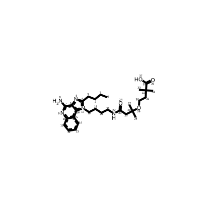 CCCCc1nc2c(N)nc3ccccc3c2n1CCCCNC(=O)CC(C)(C)OCCC(C)(C)C(=O)O